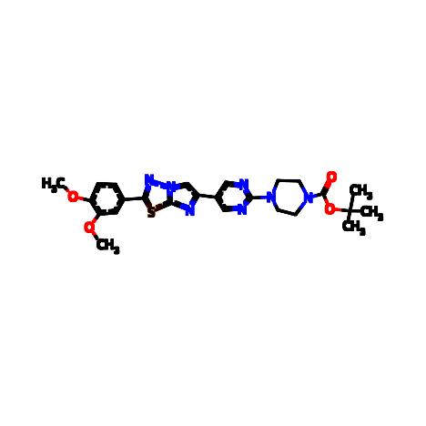 COc1ccc(-c2nn3cc(-c4cnc(N5CCN(C(=O)OC(C)(C)C)CC5)nc4)nc3s2)cc1OC